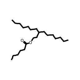 CCCCCCCC(CCCCCCC)CCOC(=O)CCCCC